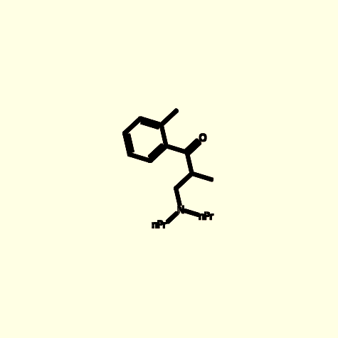 CCCN(CCC)CC(C)C(=O)c1ccccc1C